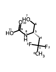 CC(F)(F)C[C@@H](CO)NC(=O)O